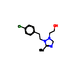 CC(C)(C)C1=NCN(CCO)N1CCc1ccc(Cl)cc1